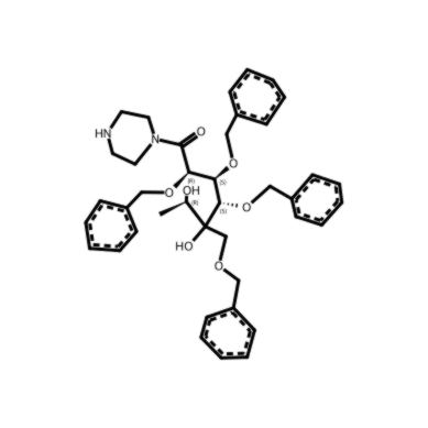 C[C@@H](O)C(O)(COCc1ccccc1)[C@@H](OCc1ccccc1)[C@H](OCc1ccccc1)[C@@H](OCc1ccccc1)C(=O)N1CCNCC1